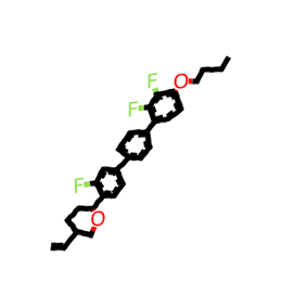 C=CC1CCC(c2ccc(-c3ccc(-c4ccc(OCCCC)c(F)c4F)cc3)cc2F)OC1